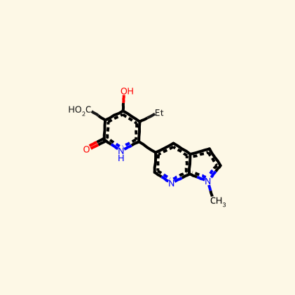 CCc1c(-c2cnc3c(ccn3C)c2)[nH]c(=O)c(C(=O)O)c1O